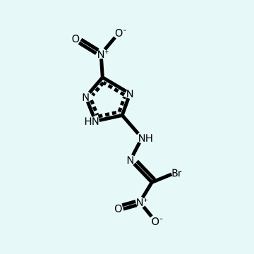 O=[N+]([O-])C(Br)=NNc1nc([N+](=O)[O-])n[nH]1